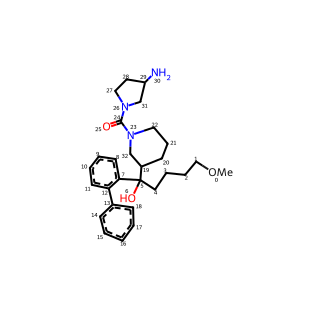 COCCCCC(O)(c1ccccc1-c1ccccc1)C1CCCN(C(=O)N2CCC(N)C2)C1